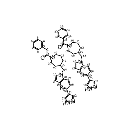 O=C(Cc1ccccc1)N1CCCC(Cn2ccc3nc(-c4cn[nH]c4)ccc32)CC1.O=C(c1ccccc1)N1CCCC(Cn2ccc3nc(-c4cn[nH]c4)ccc32)CC1